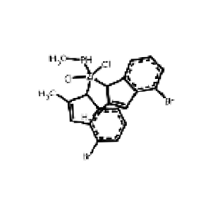 C[PH][Zr]([Cl])([Cl])([CH]1C(C)=Cc2c(Br)cccc21)[CH]1C(C)=Cc2c(Br)cccc21